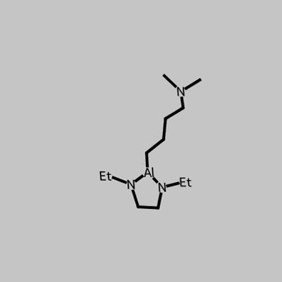 CC[N]1CC[N](CC)[Al]1[CH2]CCCN(C)C